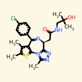 Cc1sc2c(c1C)C(c1ccc(Cl)cc1)=N[C@@H](CC(=O)NCC(C)(C)O)c1nnc(C)n1-2